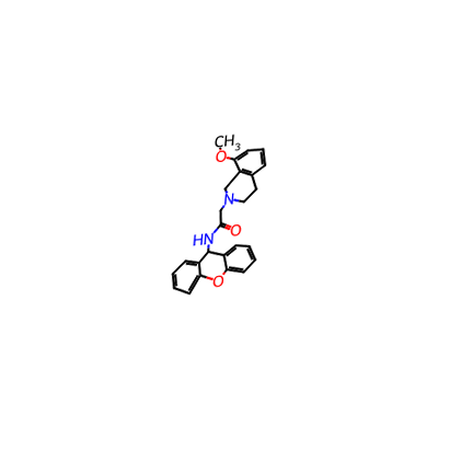 COc1cccc2c1CN(CC(=O)NC1c3ccccc3Oc3ccccc31)CC2